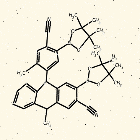 Cc1cc(C#N)c(B2OC(C)(C)C(C)(C)O2)cc1C1c2ccccc2C(C)c2cc(C#N)c(B3OC(C)(C)C(C)(C)O3)cc21